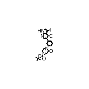 CC(C)(C)OC(=O)N1CCN(c2cccc(-c3cnc4[nH]cc(I)c4c3Cl)c2)C(=O)C1